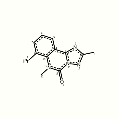 Cc1nc2c3cccc(C(C)C)c3n(C)c(=O)n2n1